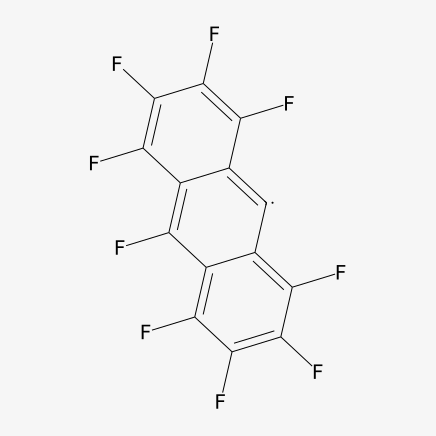 Fc1c(F)c(F)c2c(F)c3c(F)c(F)c(F)c(F)c3[c]c2c1F